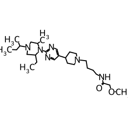 CCC(C)N1CC(C)N(c2ncc(C3CCN(CCCCNC(=O)COC)CC3)cn2)C(CC)C1